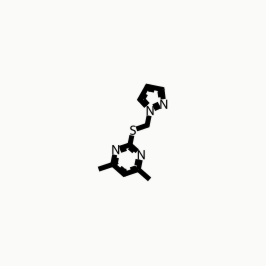 Cc1cc(C)nc(SCn2cccn2)n1